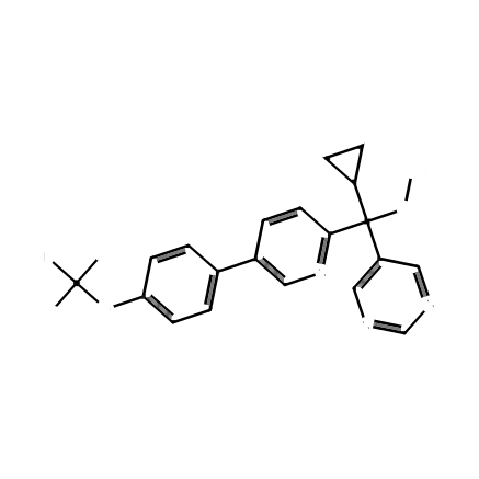 COC(c1cncnc1)(c1ccc(-c2ccc(OC(F)(F)F)cc2)cn1)C1CC1